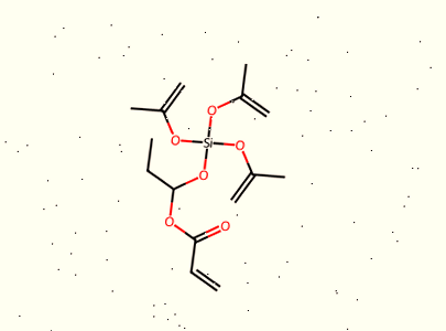 C=CC(=O)OC(CC)O[Si](OC(=C)C)(OC(=C)C)OC(=C)C